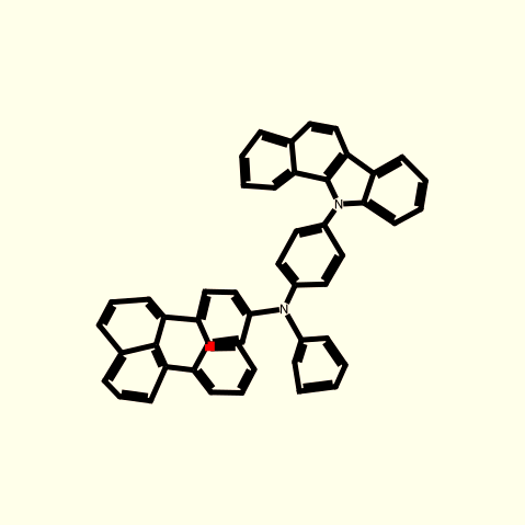 c1ccc(-c2cccc3cccc(-c4ccc(N(c5ccccc5)c5ccc(-n6c7ccccc7c7ccc8ccccc8c76)cc5)cc4)c23)cc1